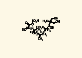 C=C(C)C(=O)O.C=C(C)C(=O)O.C=C(C)C(=O)O.CC(CO)(CO)CO.O=C(CO)OS(=O)(=O)O